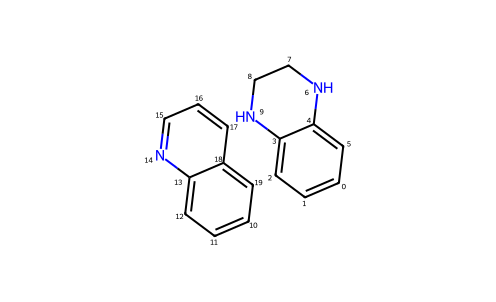 c1ccc2c(c1)NCCN2.c1ccc2ncccc2c1